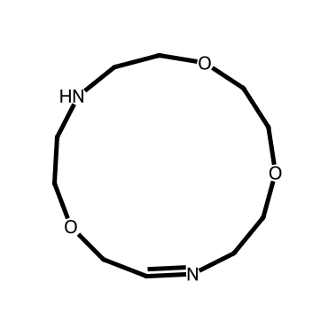 C1=NCCOCCOCCNCCOC1